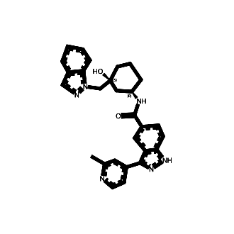 Cc1cc(-c2n[nH]c3ccc(C(=O)N[C@@H]4CCC[C@@](O)(Cn5ncc6ccccc65)C4)cc23)ccn1